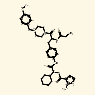 CCC(=O)NC(Cc1ccc(NC(=O)[C@@H](NC(=O)c2ccnn2C)C2CCCCC2)cc1)C(=O)N1CCN(Cc2ccc(OC)cc2)CC1